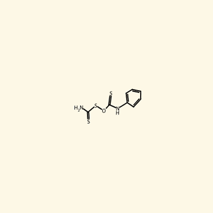 NC(=S)SOC(=S)Nc1ccccc1